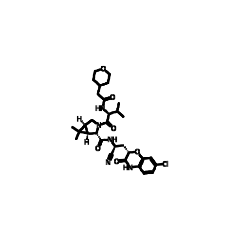 CC(C)[C@H](NC(=O)CC1CCOCC1)C(=O)N1C[C@H]2[C@@H]([C@H]1C(=O)N[C@H](C#N)C[C@@H]1Oc3cc(Cl)ccc3NC1=O)C2(C)C